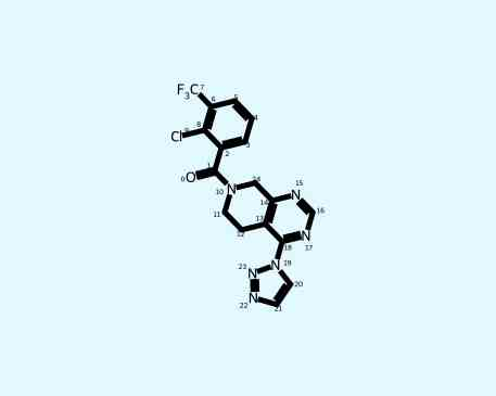 O=C(c1cccc(C(F)(F)F)c1Cl)N1CCc2c(ncnc2-n2ccnn2)C1